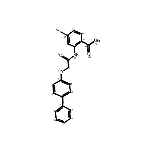 O=C(COc1ccc(-c2ccccc2)cc1)Nc1cc(F)ccc1C(=O)O